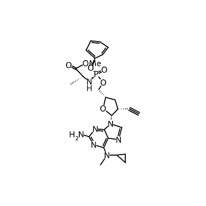 C#C[C@H]1C[C@@H](CO[P@](=O)(N[C@H](C)C(=O)OC)Oc2ccccc2)O[C@H]1n1cnc2c(N(C)C3CC3)nc(N)nc21